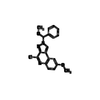 COc1ccc2nc(Cl)c3nn(C(OC)c4ccccc4)cc3c2c1